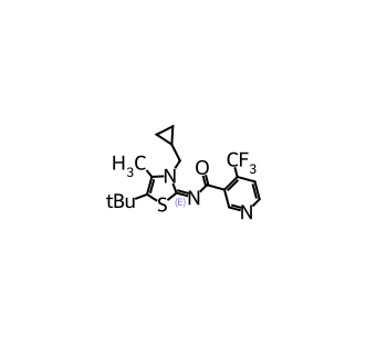 Cc1c(C(C)(C)C)s/c(=N/C(=O)c2cnccc2C(F)(F)F)n1CC1CC1